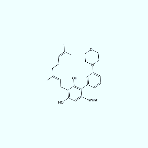 CCCCCc1cc(O)c(C/C=C(\C)CCC=C(C)C)c(O)c1-c1cccc(N2CCOCC2)c1